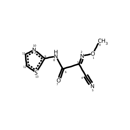 CON=C(C#N)C(=O)Nc1nccs1